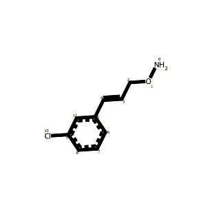 NOCC=Cc1cccc(Cl)c1